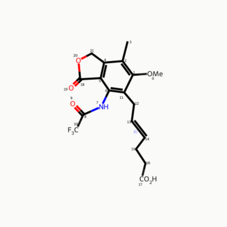 COc1c(C)c2c(c(NC(=O)C(F)(F)F)c1C/C=C/CCC(=O)O)C(=O)OC2